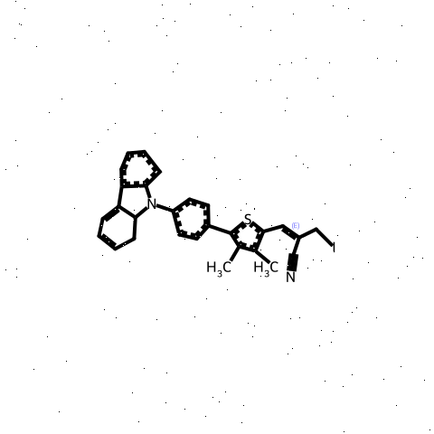 Cc1c(/C=C(\C#N)CI)sc(-c2ccc(N3c4ccccc4C4=CC=CCC43)cc2)c1C